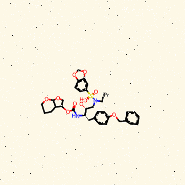 CC(C)CN(C[C@@H](O)[C@H](Cc1ccc(OCc2ccccc2)cc1)NC(=O)OC1COC2OCCCC12)S(=O)(=O)c1ccc2c(c1)OCO2